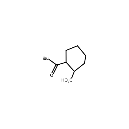 CCC(C)C(=O)C1CCCCC1C(=O)O